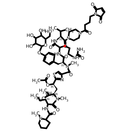 CC[C@H](C)C(NC(=O)C1CCCCN1C)C(=O)N(C)[C@H](C[C@@H](OC(C)=O)c1nc(C(=O)N(C)[C@@H](Cc2ccc(OC3OC(CO)C(O)C(O)C3O)cc2)C(=O)NC(CCCNC(N)=O)C(=O)N[C@H](C(=O)N2CCN(C(=O)CCCN3C(=O)C=CC3=O)CC2)C(C)C)cs1)C(C)C